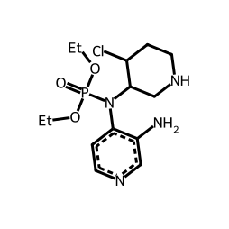 CCOP(=O)(OCC)N(c1ccncc1N)C1CNCCC1Cl